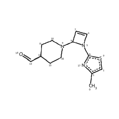 Cc1csc(N2C=CC2N2CCC(C=O)CC2)n1